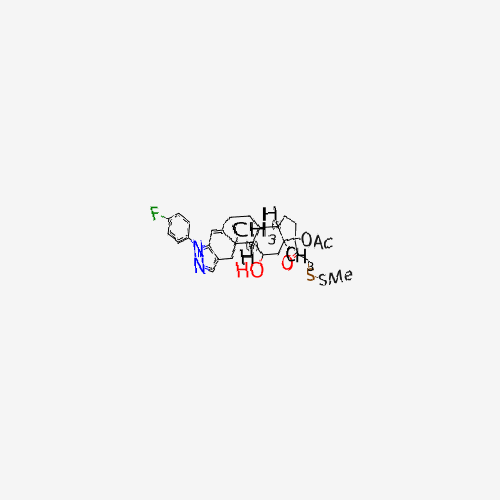 CSSCC(=O)C1(OC(C)=O)CC[C@H]2C3CCC4=Cc5c(cnn5-c5ccc(F)cc5)CC4(C)[C@H]3C(O)CC21C